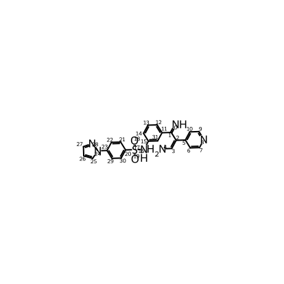 N=C(/C(=C\N)c1ccncc1)c1cccc(NS(=O)(=O)c2ccc(-n3cccn3)cc2)c1